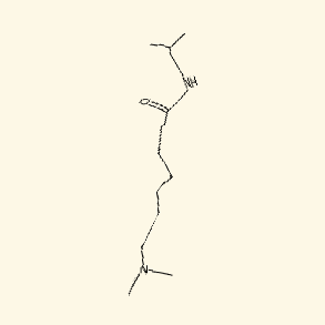 CC(C)NC(=O)CCCCCCN(C)C